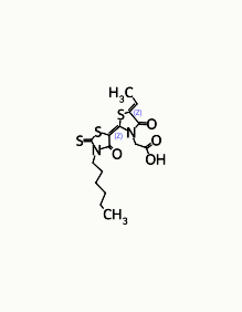 C/C=c1\s/c(=C2\SC(=S)N(CCCCCC)C2=O)n(CC(=O)O)c1=O